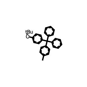 Cc1ccc(C(c2ccccc2)(c2ccccc2)c2ccc(OC(C)(C)C)cc2)cc1